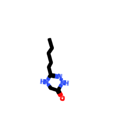 CCCCCC1=NNC(=O)CN1